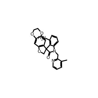 Cc1cccnc1CN1C(=O)C2(COc3cc4c(cc32)OCCO4)c2c(N)cccc21